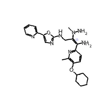 Cc1nc(/C(N)=C(\CNc2ncc(-c3ccccn3)o2)N(C)N)ccc1OC1CCCCC1